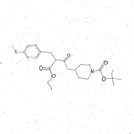 CCOC(=O)C(Cc1ccc(SC)cc1)C(=O)CC1CCN(C(=O)OC(C)(C)C)CC1